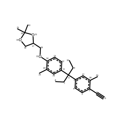 C#Cc1ccc(C(CC)(CC)c2ccc(OCC3COC(C)(C)O3)c(C)c2)cc1C